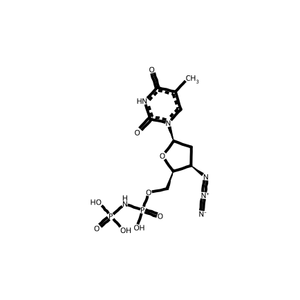 Cc1cn([C@H]2C[C@@H](N=[N+]=[N-])[C@@H](COP(=O)(O)NP(=O)(O)O)O2)c(=O)[nH]c1=O